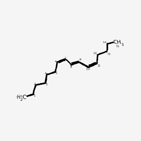 [CH2]CCCCC\C=C/C=C/C=C\CCCC